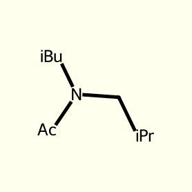 CCC(C)N(CC(C)C)C(C)=O